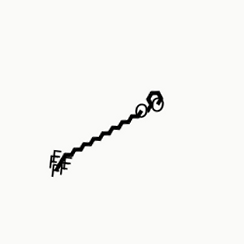 FC(F)(F)C(F)(F)CCCCCCCCCCCCCCCCOCC1CCCCO1